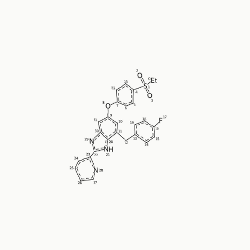 CCS(=O)(=O)c1ccc(Oc2cc(Cc3ccc(F)cc3)c3[nH]c(-c4ccccn4)nc3c2)cc1